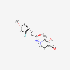 COc1ccc(/C=C/C(=O)NN2C=CC(=C=O)C(O)=C2C)c(F)c1